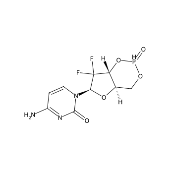 Nc1ccn([C@@H]2O[C@@H]3CO[PH](=O)O[C@H]3C2(F)F)c(=O)n1